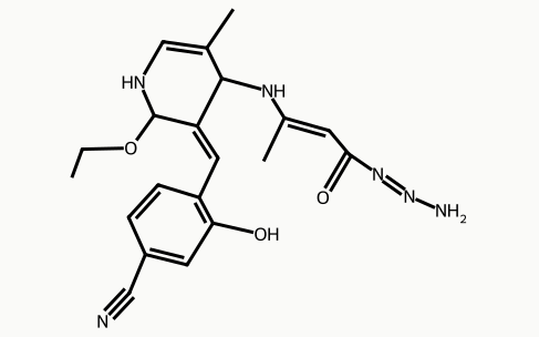 CCOC1NC=C(C)C(N/C(C)=C/C(=O)N=NN)/C1=C/c1ccc(C#N)cc1O